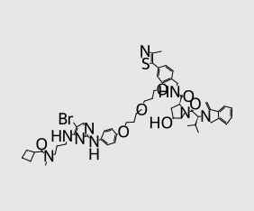 C=C1c2ccccc2CN1[C@H](C(=O)N1C[C@H](O)C[C@H]1C(=O)NCc1ccc(-c2scnc2C)cc1OCCCOCCCOc1ccc(Nc2ncc(Br)c(NCCCN(C)C(=O)C3CCC3)n2)cc1)C(C)C